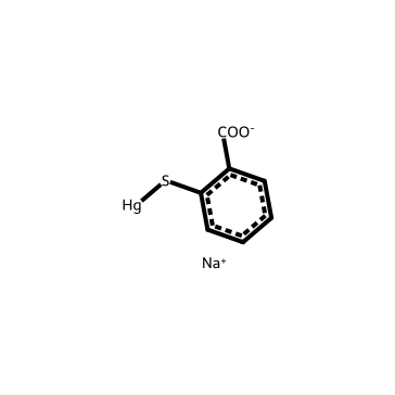 O=C([O-])c1ccccc1[S][Hg].[Na+]